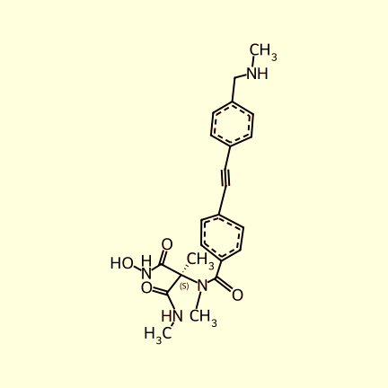 CNCc1ccc(C#Cc2ccc(C(=O)N(C)[C@@](C)(C(=O)NC)C(=O)NO)cc2)cc1